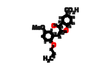 C=CCOc1ccc(OC)cc1C=C1Oc2ccc(C(=O)O)cc2C1=O